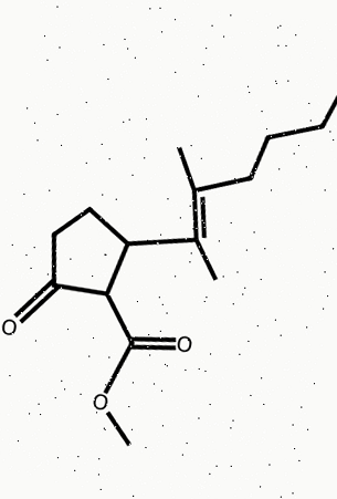 CCCC/C(C)=C(\C)C1CCC(=O)C1C(=O)OC